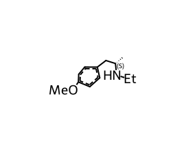 CCN[C@@H](C)Cc1ccc(OC)cc1